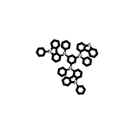 c1ccc(N(c2cc(N(c3ccccc3)c3cccc4c3c3ccccc3n4-c3ccccc3)cc(N(c3ccccc3)c3cccc4c3c3ccccc3n4-c3ccccc3)c2)c2cccc3sc4ccccc4c23)cc1